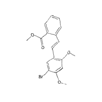 COC(=O)c1ccccc1C=Cc1cc(Br)c(OC)cc1OC